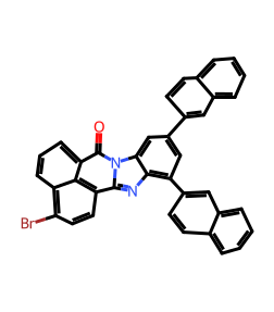 O=c1c2cccc3c(Br)ccc(c32)c2nc3c(-c4ccc5ccccc5c4)cc(-c4ccc5ccccc5c4)cc3n12